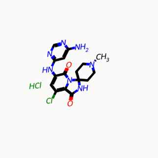 CN1CCC2(CC1)NC(=O)c1c(Cl)cc(Nc3cc(N)ncn3)c(=O)n12.Cl